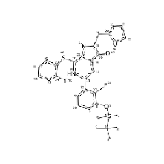 CC(C)(C)[Si](C)(C)Oc1cccc(-c2cn3c(=O)c(Cc4ccco4)nc-3c(Sc3ccccc3F)[nH]2)c1F